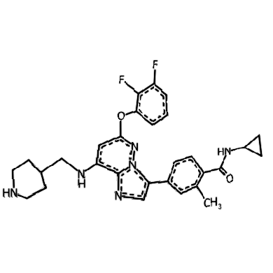 Cc1cc(-c2cnc3c(NCC4CCNCC4)cc(Oc4cccc(F)c4F)nn23)ccc1C(=O)NC1CC1